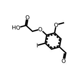 COc1cc(C=O)cc(I)c1OCC(=O)O